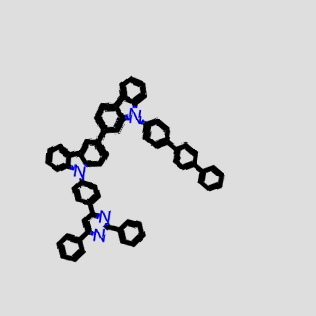 c1ccc(-c2ccc(-c3ccc(-n4c5ccccc5c5ccc(-c6ccc7c(c6)c6ccccc6n7-c6ccc(-c7cc(-c8ccccc8)nc(-c8ccccc8)n7)cc6)cc54)cc3)cc2)cc1